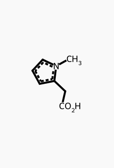 Cn1cccc1CC(=O)O